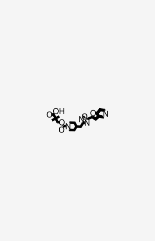 CC(C)(COC(=O)N1CCC(Cc2noc(-c3cc4cnccc4o3)n2)CC1)C(=O)O